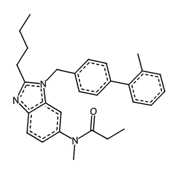 CCCCc1nc2ccc(N(C)C(=O)CC)cc2n1Cc1ccc(-c2ccccc2C)cc1